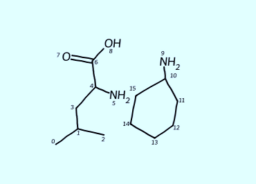 CC(C)CC(N)C(=O)O.NC1CCCCC1